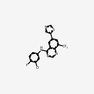 Fc1ccc(Nc2ncnc3c(C(F)(F)F)cc(-c4cncs4)cc23)cc1Cl